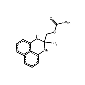 CNC(=O)OCC1(C)Nc2cccc3cccc(c23)N1